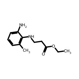 CCOC(=O)CCNc1c(C)cccc1N